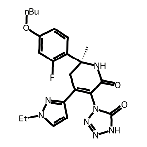 CCCCOc1ccc([C@]2(C)CC(c3ccn(CC)n3)=C(n3nn[nH]c3=O)C(=O)N2)c(F)c1